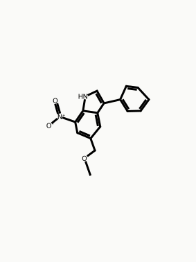 COCc1cc([N+](=O)[O-])c2[nH]cc(-c3ccccc3)c2c1